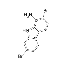 Nc1c(Br)ccc2c1[nH]c1cc(Br)ccc12